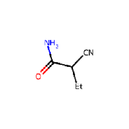 [CH2]CC(C#N)C(N)=O